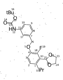 CC(C)c1ccc(OCc2cccc(NC(=O)OC(C)(C)C)c2)c(F)c1C1OCCO1